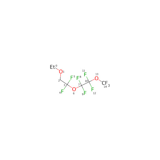 CCOCC(F)(F)OC(F)(F)C(F)(F)OC(F)(F)F